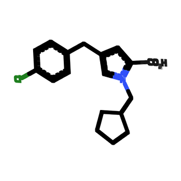 O=C(O)c1cc(Cc2ccc(Cl)cc2)cn1CC1CCCC1